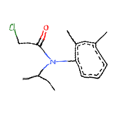 Cc1cccc(N(C(=O)CCl)C(C)C)c1C